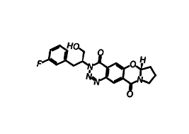 O=C1c2cc3nnn([C@H](CO)Cc4cccc(F)c4)c(=O)c3cc2O[C@@H]2CCCN12